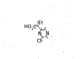 CCC(C(=O)O)c1cncc(Cl)n1